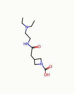 CCN(CC)CCNC(=O)CC1CN(C(=O)O)C1